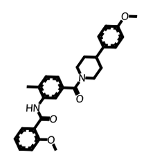 COc1ccc(C2CCN(C(=O)c3ccc(C)c(NC(=O)c4ccccc4OC)c3)CC2)cc1